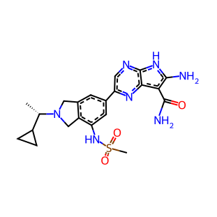 C[C@@H](C1CC1)N1Cc2cc(-c3cnc4[nH]c(N)c(C(N)=O)c4n3)cc(NS(C)(=O)=O)c2C1